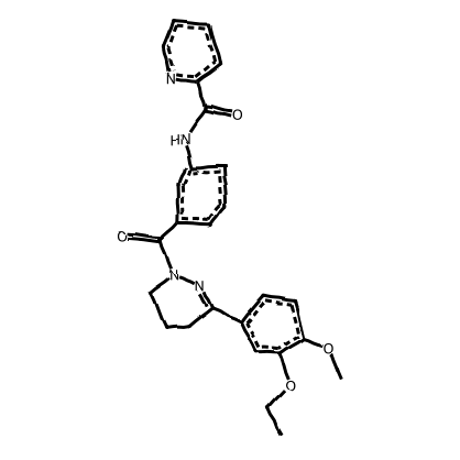 CCOc1cc(C2=NN(C(=O)c3cccc(NC(=O)c4ccccn4)c3)CCC2)ccc1OC